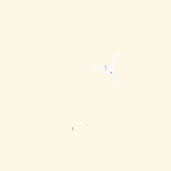 CC(C)N1CCC2(CC1)CC2C